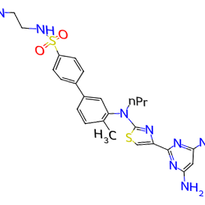 CCCN(c1nc(-c2nc(N)cc(N)n2)cs1)c1cc(-c2ccc(S(=O)(=O)NCCN)cc2)ccc1C